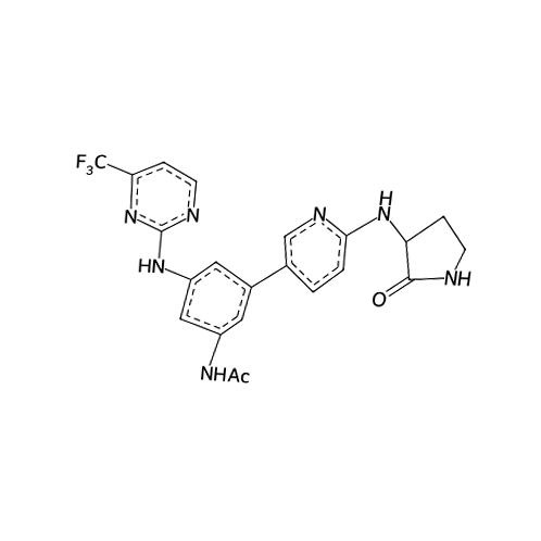 CC(=O)Nc1cc(Nc2nccc(C(F)(F)F)n2)cc(-c2ccc(NC3CCNC3=O)nc2)c1